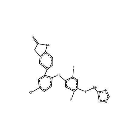 O=C1Cc2cc(-c3cc(Cl)ccc3Oc3cc(F)c(SNc4ncns4)cc3F)ccc2N1